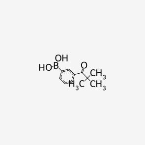 CC(C)(C)C(=O)c1cccc(B(O)O)c1